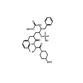 CCCCOC(=O)NC(Cc1ccccc1)C(CC(Cc1cccc(C)c1)C(=O)NC(C(=O)N1CCC(NC)CC1)C(C)C)O[Si](C)(C)C(C)(C)C